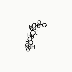 CC1=C2CC3[C@@H](CC[C@@H]4C[C@H](NS(C)(=O)=O)CC[C@]34C)[C@@H]2CC[C@@]2(C1)O[C@@H]1C[C@H](C)CN(OC(=O)c3ccccc3)C1[C@H]2C